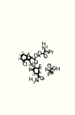 CC(C)[C@H](N)C(=O)OCOC(=O)c1sc2cccc(Cl)c2c1COc1c(F)cc(C(N)=O)cc1F.O=C(O)C(F)(F)F